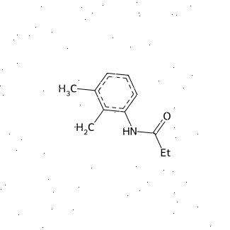 [CH2]c1c(C)cccc1NC(=O)CC